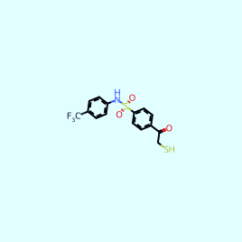 O=C(CS)c1ccc(S(=O)(=O)Nc2ccc(C(F)(F)F)cc2)cc1